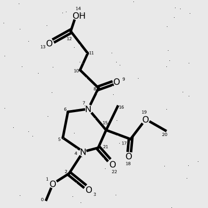 COC(=O)N1CCN(C(=O)CCC(=O)O)C(C)(C(=O)OC)C1=O